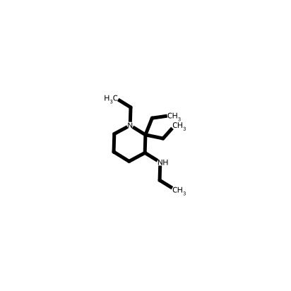 CCNC1CCCN(CC)C1(CC)CC